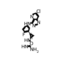 N=C(N)ON[C@@H]1C[C@@H]1c1cc(Nc2ncnc3cc(Cl)cnc23)ccc1F